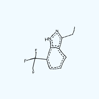 CCc1n[nH]c2c(C(F)(F)F)cccc12